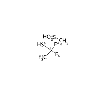 CS(=O)(=O)O.FC(F)(F)C(F)(F)S